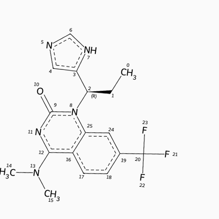 CC[C@H](c1cnc[nH]1)n1c(=O)nc(N(C)C)c2ccc(C(F)(F)F)cc21